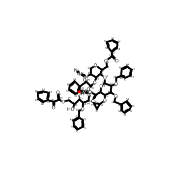 COC(=O)C1OC(OC2C(COC(=O)c3ccccc3)OCC(N=[N+]=[N-])C2OC(=O)C(=O)c2ccccc2)C(OCc2ccccc2)C(OCc2ccccc2)C1OC1C[C@@H]1C(N=[N+]=[N-])C(OCc1ccccc1)[C@H](O)C(O)COC(=O)C(=O)c1ccccc1